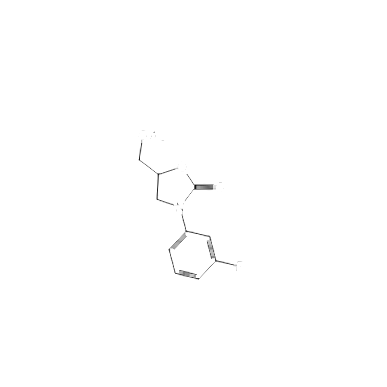 CC(=O)OCC1CN(c2cccc(F)c2)C(=O)O1